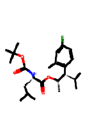 Cc1cc(F)ccc1[C@H](C(C)C)[C@H](C)OC(=O)[C@H](CC(C)C)NC(=O)OC(C)(C)C